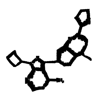 Cc1cc(-c2cccs2)nc2cc(-c3nn(C4CCC4)c4ncnc(N)c34)ccc12